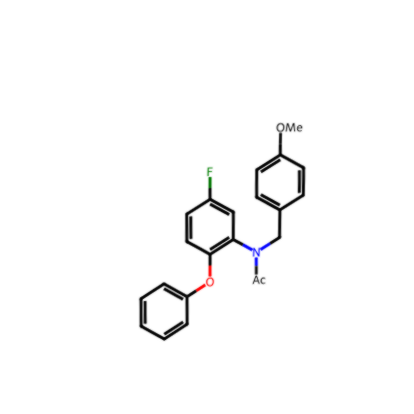 COc1ccc(CN(C(C)=O)c2cc(F)ccc2Oc2ccccc2)cc1